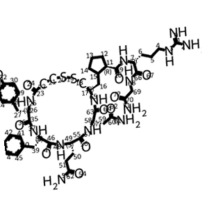 N=C(N)NCCC[C@@H](NC(=O)[C@@H]1CCCC1C[C@@H]1CSSCCC(=O)N[C@@H](Cc2ccc(O)cc2)C(=O)N[C@@H](Cc2ccccc2)C(=O)N[C@@H](CCC(N)=O)C(=O)N[C@@H](CC(N)=O)C(=O)N1)C(=O)NCC(N)=O